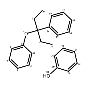 CCC(CC)(Oc1ccccc1)c1ccccc1.Oc1ccccc1